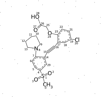 CS(=O)(=O)c1ccc(N2CCCCC2)c(C#Cc2cc(Cl)ccc2OCC(=O)O)c1